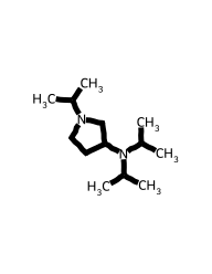 CC(C)N1CCC(N(C(C)C)C(C)C)C1